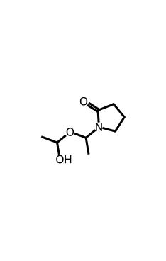 CC(O)OC(C)N1CCCC1=O